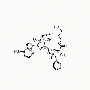 CCCCOC(=O)[C@H](C)NP(=O)(OC[C@H]1O[C@@H](c2ccc3c(N)ncnn23)[C@](C)(N=[N+]=[N-])[C@@H]1O)Oc1ccccc1